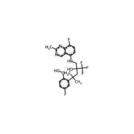 Cc1ncc2c(NCC(O)(CC(C)(C)c3cc(F)ccc3OO)C(F)(F)F)ccc(F)c2n1